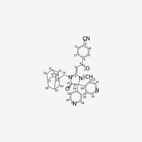 CN1C(=CC(=O)c2ccc(C#N)cc2)N(CC23CC4CC(CC(C4)C2)C3)C(=O)C1(c1ccncc1)c1ccncc1